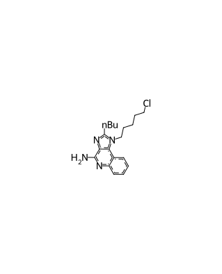 CCCCc1nc2c(N)nc3ccccc3c2n1CCCCCCl